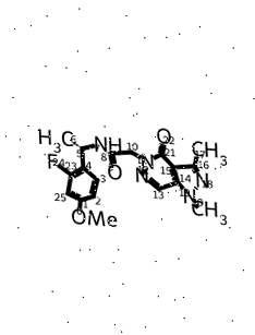 COc1ccc([C@H](C)NC(=O)Cn2ncc3c(c(C)nn3C)c2=O)c(F)c1